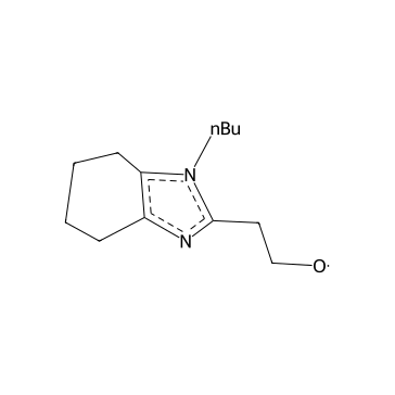 CCCCn1c(CC[O])nc2c1CCCC2